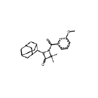 COc1cccc(C(=O)N2N(C3C4CC5CC(C4)CC3C5)C(=O)C2(C)C)c1